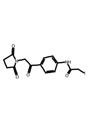 O=C(CI)Nc1ccc(C(=O)CN2C(=O)CCC2=O)cc1